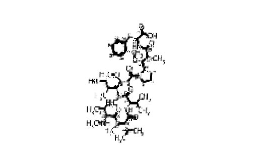 CC[C@H](C)[C@@H]([C@@H](CC(=O)N1CCC[C@H]1[C@H](OC)[C@@H](C)C(=O)N[C@@H](Cc1ccccc1)C(=O)O)OC)N(C)C(=O)[C@@H](NC(=O)[C@H](C(C)C)N(C)C(=O)[C@@H](NC)C(C)C)C(C)C